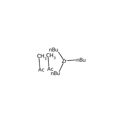 CC(C)=O.CC(C)=O.CCC[CH2][Zr]([CH2]CCC)[CH2]CCC